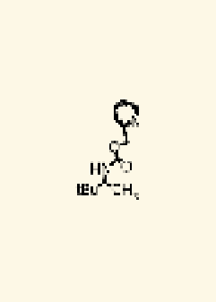 CC(NC(=O)OCc1ccccn1)C(C)(C)C